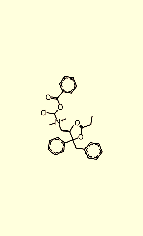 CCC(=O)OC(Cc1ccccc1)(c1ccccc1)C(C)C[N+](C)(C)C(Cl)OC(=O)c1ccccc1